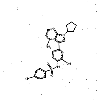 Nc1ncnc2c1c(-c1ccc(NS(=O)(=O)c3ccc(Cl)cc3)c(O)c1)cn2C1CCCC1